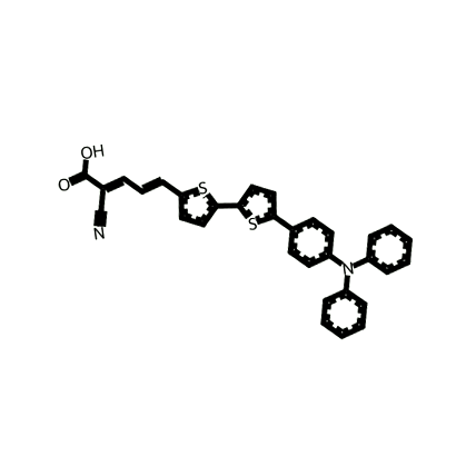 N#C/C(=C\C=C\c1ccc(-c2ccc(-c3ccc(N(c4ccccc4)c4ccccc4)cc3)s2)s1)C(=O)O